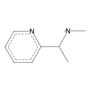 C[N]C(C)c1ccccn1